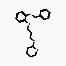 c1ccc(COc2ccccc2OCCCOC2CCCCO2)cc1